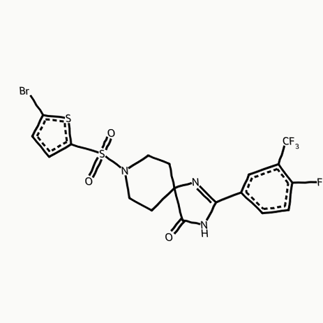 O=C1NC(c2ccc(F)c(C(F)(F)F)c2)=NC12CCN(S(=O)(=O)c1ccc(Br)s1)CC2